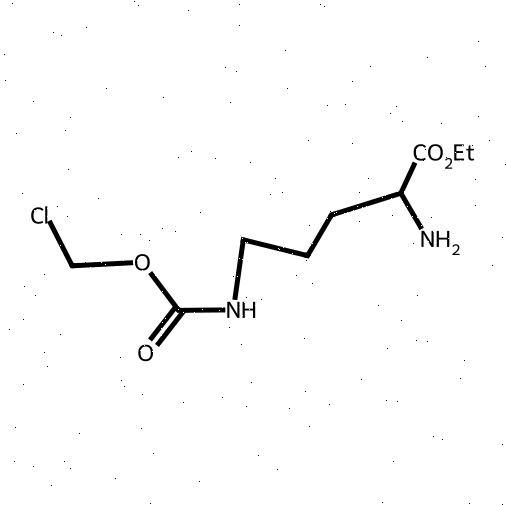 CCOC(=O)C(N)CCCNC(=O)OCCl